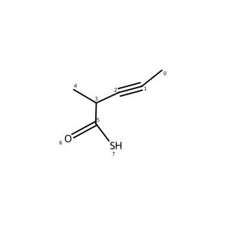 CC#CC(C)C(=O)S